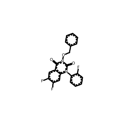 O=c1c2cc(F)c(F)cc2n(-c2ccccc2F)c(=O)n1OCc1ccccc1